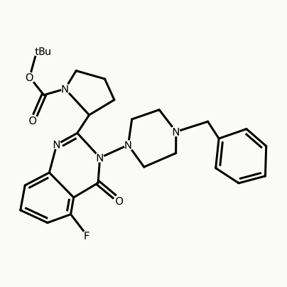 CC(C)(C)OC(=O)N1CCCC1c1nc2cccc(F)c2c(=O)n1N1CCN(Cc2ccccc2)CC1